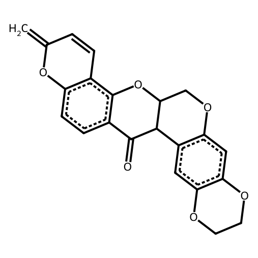 C=C1C=Cc2c(ccc3c2OC2COc4cc5c(cc4C2C3=O)OCCO5)O1